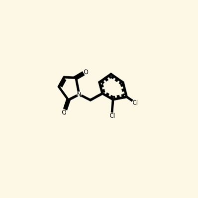 O=C1C=CC(=O)N1Cc1cccc(Cl)c1Cl